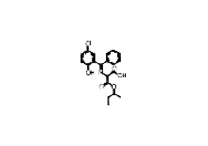 CCC(C)OC(=O)C(N=C(c1ccccc1)c1cc(Cl)ccc1O)C(=O)O